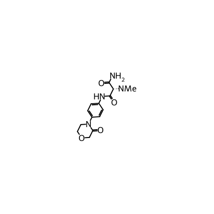 CN[C@@H](C(N)=O)C(=O)Nc1ccc(N2CCOCC2=O)cc1